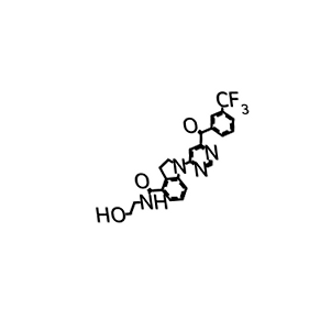 O=C(c1cccc(C(F)(F)F)c1)c1cc(N2CCc3c(C(=O)NCCO)cccc32)ncn1